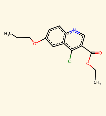 CCCOc1ccc2ncc(C(=O)OCC)c(Cl)c2c1